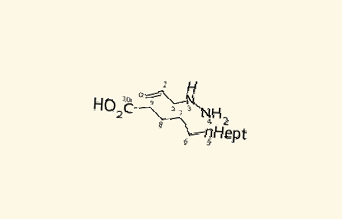 C=CCNN.CCCCCCCCCCCC(=O)O